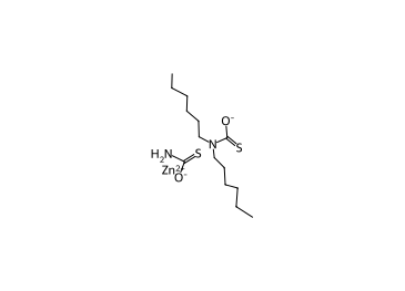 CCCCCCN(CCCCCC)C([O-])=S.NC([O-])=S.[Zn+2]